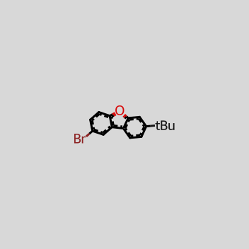 CC(C)(C)c1ccc2c(c1)oc1ccc(Br)cc12